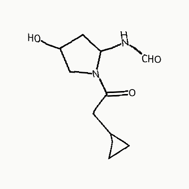 O=CNC1CC(O)CN1C(=O)CC1CC1